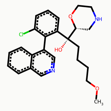 COCCCC[C@@](O)(c1cccc(Cl)c1-c1cncc2ccccc12)[C@H]1CNCCO1